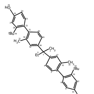 CCC(C)(c1ccc(-c2ccc(O)cc2C(C)(C)C)c(C)c1)c1ccc(-c2ccc(O)cc2C(C)(C)C)c(C)c1